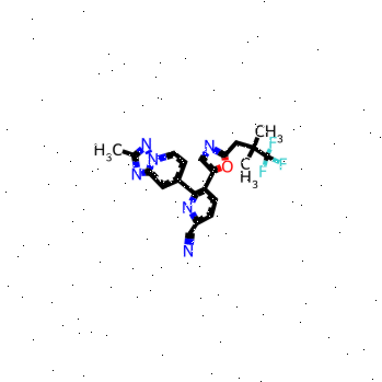 Cc1nc2cc(-c3nc(C#N)ccc3-c3cnc(CC(C)(C)C(F)(F)F)o3)ccn2n1